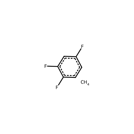 C.Fc1ccc(F)c(F)c1